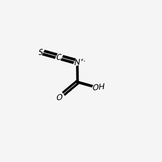 O=C(O)[N+]=C=S